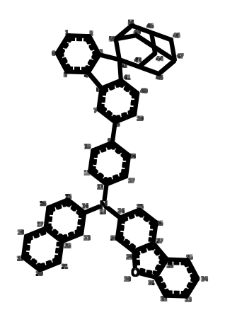 c1ccc2c(c1)-c1cc(-c3ccc(N(c4ccc5ccccc5c4)c4ccc5c(c4)oc4ccccc45)cc3)ccc1C21C2CC3CC(C2)CC1C3